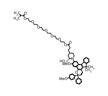 C=C(C)C(=O)OCCOCCOCCOCCOCCOCCOC(=O)CCC1CCN(c2cc3c4c(c5c(c3cc2OC)OC(c2ccccc2)(c2ccc(OC)cc2)C=C5)C(C)(C)c2ccccc2-4)C(C(=O)O)C1